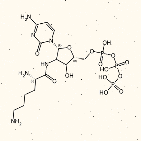 NCCCC[C@H](N)C(=O)NC1C(O)[C@@H](COP(=O)(O)OP(=O)(O)OP(=O)(O)O)O[C@H]1n1ccc(N)nc1=O